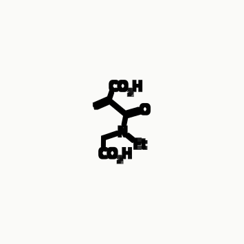 C=C(C(=O)O)C(=O)N(CC)CC(=O)O